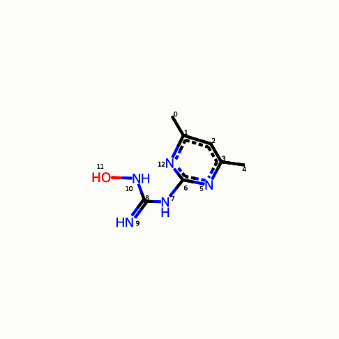 Cc1cc(C)nc(NC(=N)NO)n1